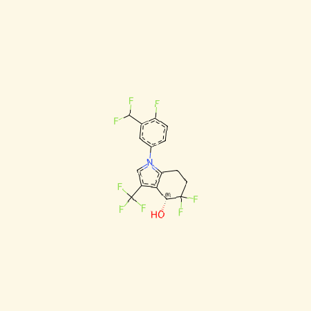 O[C@@H]1c2c(C(F)(F)F)cn(-c3ccc(F)c(C(F)F)c3)c2CCC1(F)F